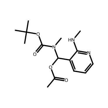 CNc1ncccc1C(OC(C)=O)N(C)C(=O)OC(C)(C)C